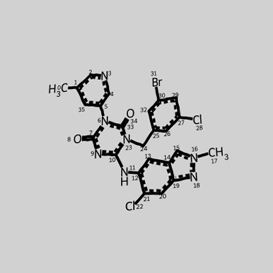 Cc1cncc(-n2c(=O)nc(Nc3cc4cn(C)nc4cc3Cl)n(Cc3cc(Cl)cc(Br)c3)c2=O)c1